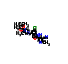 Cc1ncc(C(=O)Nc2cc(Cl)cc(CN3CCN(C(=O)OC(C)(C)C)C(C)C3)c2C)cc1C#N